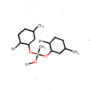 CCO[Si](C)(OC1CC(C)CCC1C(C)C)OC1CC(C)CCC1C(C)C